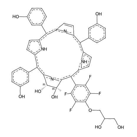 C[C@@]1(O)c2nc(c(-c3cccc(O)c3)c3ccc([nH]3)c(-c3cccc(O)c3)c3nc(c(-c4cccc(O)c4)c4ccc([nH]4)c2-c2c(F)c(F)c(OCC(O)CO)c(F)c2F)C=C3)[C@H]1O